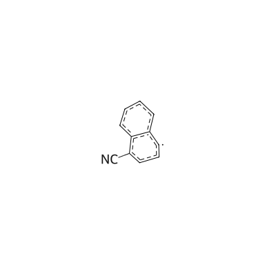 N#Cc1cc[c]c2ccccc12